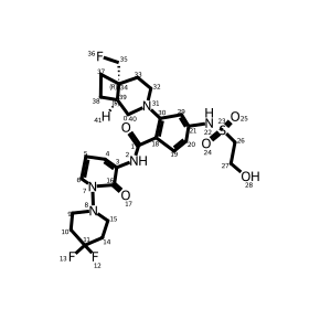 O=C(Nc1cccn(N2CCC(F)(F)CC2)c1=O)c1ccc(NS(=O)(=O)CCO)cc1N1CC[C@]2(CF)CC[C@@H]2C1